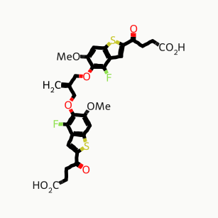 C=C(COc1c(OC)cc2sc(C(=O)CCC(=O)O)cc2c1F)COc1c(OC)cc2sc(C(=O)CCC(=O)O)cc2c1F